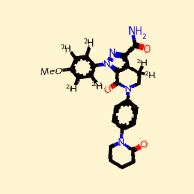 [2H]c1c([2H])c(-n2nc(C(N)=O)c3c2C(=O)N(c2ccc(N4CCCCC4=O)cc2)CC3([2H])[2H])c([2H])c([2H])c1OC